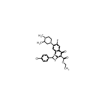 CCOC(=O)c1c2n(c3cc(N4CCN(C)C(C)C4)c(F)cc3c1=O)C(c1ccc(Cl)cc1)S2